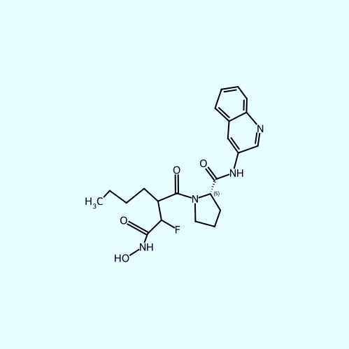 CCCCC(C(=O)N1CCC[C@H]1C(=O)Nc1cnc2ccccc2c1)C(F)C(=O)NO